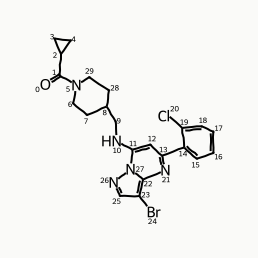 O=C(C1CC1)N1CCC(CNc2cc(-c3ccccc3Cl)nc3c(Br)cnn23)CC1